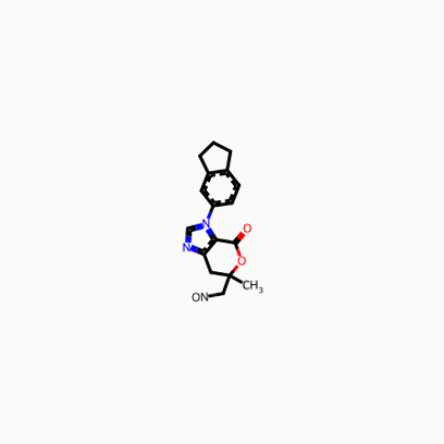 CC1(CN=O)Cc2ncn(-c3ccc4c(c3)CCC4)c2C(=O)O1